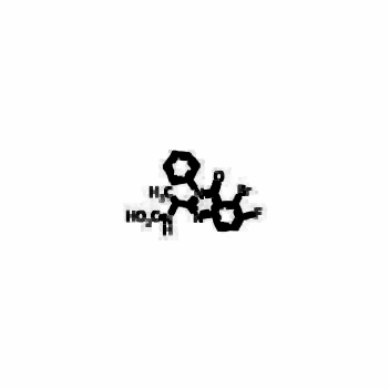 CC(NC(=O)O)c1nc2ccc(F)c(Br)c2c(=O)n1-c1ccccc1